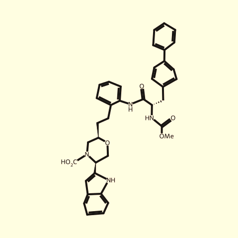 COC(=O)N[C@@H](Cc1ccc(-c2ccccc2)cc1)C(=O)Nc1ccccc1CC[C@@H]1CN(C(=O)O)[C@H](c2cc3ccccc3[nH]2)CO1